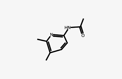 CC(=O)Nc1ccc(C)c(C)n1